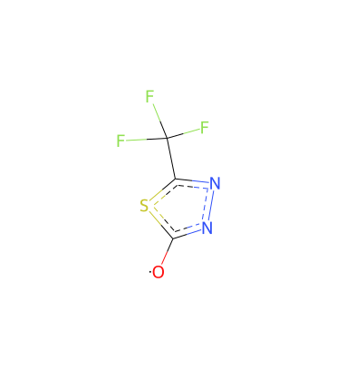 [O]c1nnc(C(F)(F)F)s1